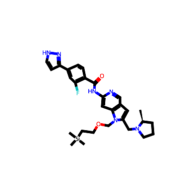 C[C@H]1CCCN1Cc1cc2cnc(NC(=O)c3ccc(-c4cc[nH]n4)cc3F)cc2n1COCC[Si](C)(C)C